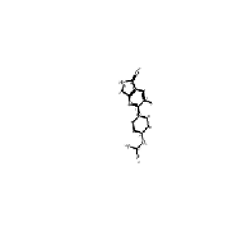 Cc1cc2c(nc1N1CCC(OC(F)F)CC1)CNC2=O